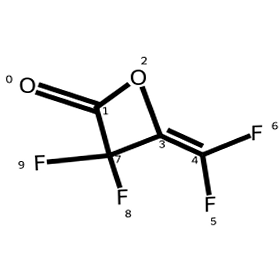 O=C1OC(=C(F)F)C1(F)F